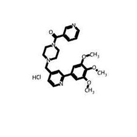 COc1cc(-c2cc(CN3CCN(C(=O)c4cccnc4)CC3)ccn2)cc(OC)c1OC.Cl